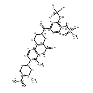 Cc1c(N2CCN(C(=O)O)[C@@H](C)C2)ccc2c3c(c(=O)oc12)CN(C(=O)c1ccc(NS(C)(=O)=O)c(OC(F)(F)F)c1)CC3